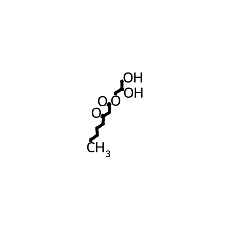 CCCCCC(=O)CC(=O)OCC(O)CO